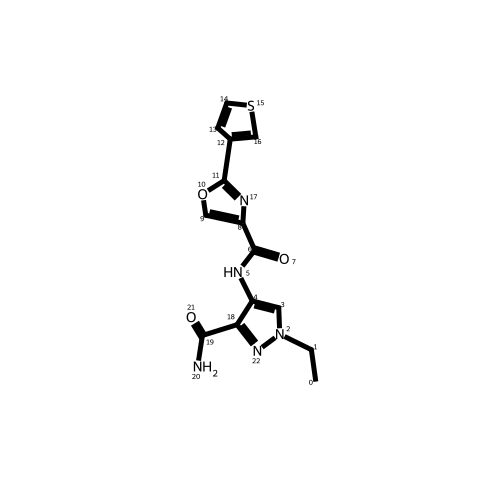 CCn1cc(NC(=O)c2coc(-c3ccsc3)n2)c(C(N)=O)n1